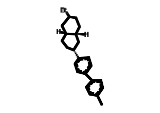 CCC1CC[C@@H]2C[C@H](c3ccc(-c4ccc(C)cc4)cc3)CC[C@@H]2C1